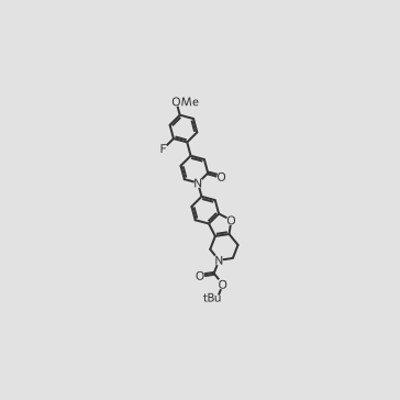 COc1ccc(-c2ccn(-c3ccc4c5c(oc4c3)CCN(C(=O)OC(C)(C)C)C5)c(=O)c2)c(F)c1